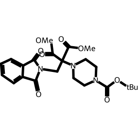 COC(=O)C(CN1C(=O)c2ccccc2C1=O)(C(=O)OC)N1CCN(C(=O)OC(C)(C)C)CC1